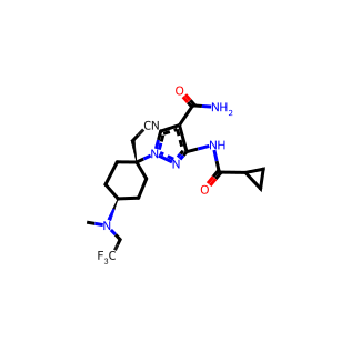 CN(CC(F)(F)F)[C@H]1CC[C@](CC#N)(n2cc(C(N)=O)c(NC(=O)C3CC3)n2)CC1